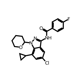 O=C(Nc1nn(C2CCCCO2)c2c(C3CC3)cc(Cl)cc12)c1ccc(F)cc1